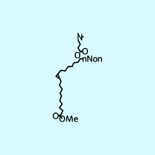 CCCCCCCCCC(CCCCCCC1CC1CCCCCCCCCC(=O)OC)OC(=O)CCCN(C)C